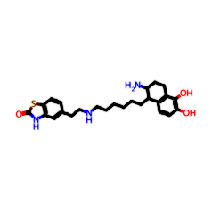 NC1CCc2c(ccc(O)c2O)C1CCCCCCNCCc1ccc2sc(=O)[nH]c2c1